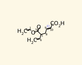 C=COC(=O)C(C=C)C/C=C/C(=O)O